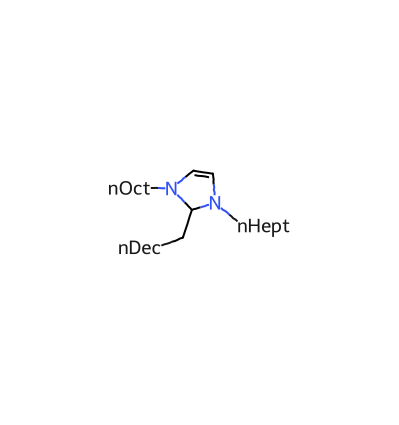 CCCCCCCCCCCC1N(CCCCCCC)C=CN1CCCCCCCC